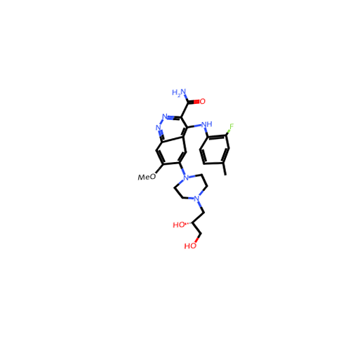 COc1cc2nnc(C(N)=O)c(Nc3ccc(C)cc3F)c2cc1N1CCN(C[C@@H](O)CO)CC1